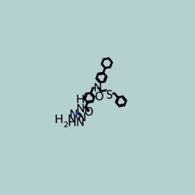 N=N/C(=N\N)NC(=O)c1ccc(CN(C(=O)CSCc2ccccc2)c2ccc(C3CCCCC3)cc2)cc1